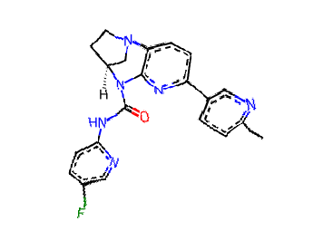 Cc1ccc(-c2ccc3c(n2)N(C(=O)Nc2ccc(F)cn2)[C@H]2CCN3C2)cn1